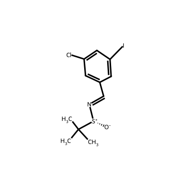 CC(C)(C)[S@@+]([O-])/N=C/c1cc(Cl)cc(I)c1